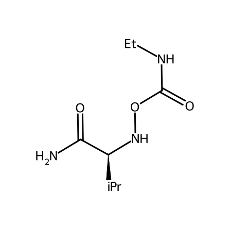 CCNC(=O)ON[C@H](C(N)=O)C(C)C